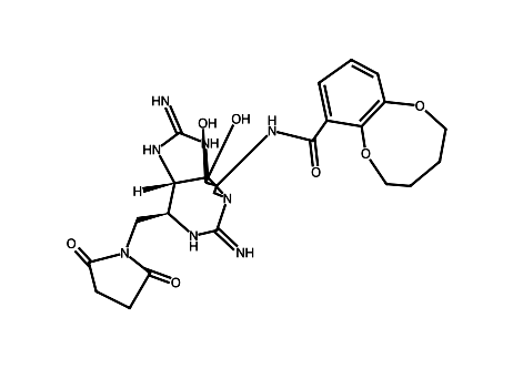 N=C1N[C@H]2[C@H](CN3C(=O)CCC3=O)NC(=N)N3CC(NC(=O)c4cccc5c4OCCCCO5)C(O)(O)C23N1